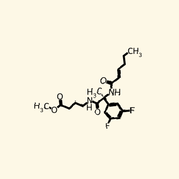 CCC/C=C/C(=O)N[C@](C)(C(=O)NC[CH]CC(=O)OC)c1cc(F)cc(F)c1